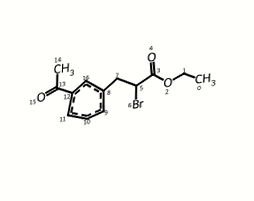 CCOC(=O)C(Br)Cc1cccc(C(C)=O)c1